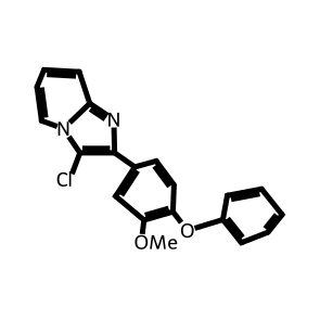 COc1cc(-c2nc3ccccn3c2Cl)ccc1Oc1ccccc1